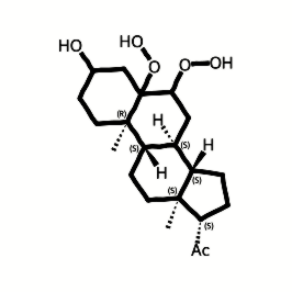 CC(=O)[C@H]1CC[C@H]2[C@@H]3CC(OO)C4(OO)CC(O)CC[C@]4(C)[C@H]3CC[C@]12C